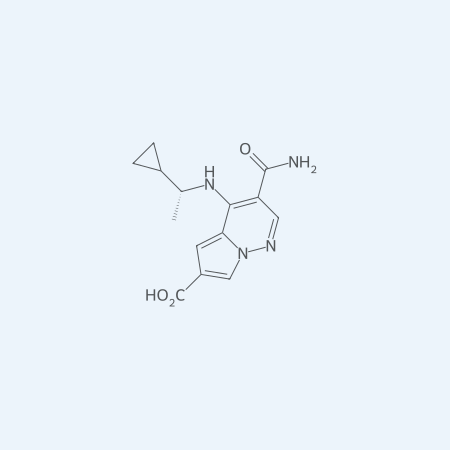 C[C@@H](Nc1c(C(N)=O)cnn2cc(C(=O)O)cc12)C1CC1